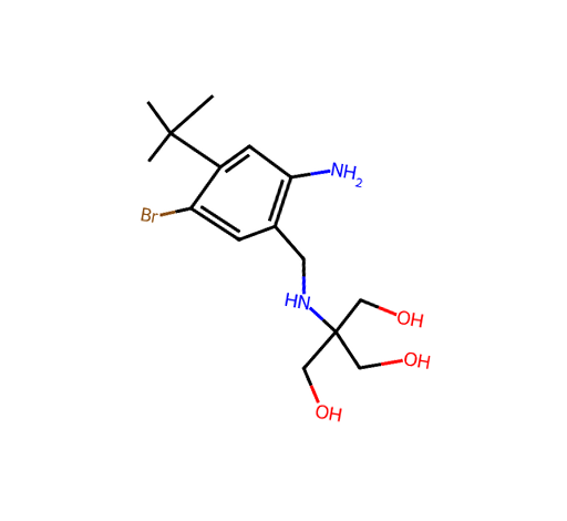 CC(C)(C)c1cc(N)c(CNC(CO)(CO)CO)cc1Br